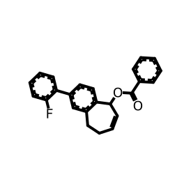 O=C(OC1C=CCCc2cc(-c3ccccc3F)ccc21)c1ccccc1